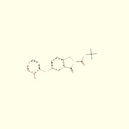 CC(C)(C)OC(=O)N1Cc2ccc(Nc3ncncc3N)cc2C1=O